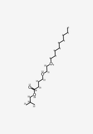 CCCCCCCCCOCCOCCCC(=O)OCC(C)C